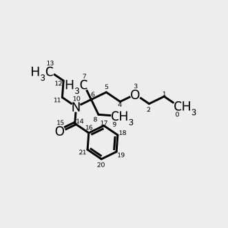 CCCOCCC(C)(CC)N(CCC)C(=O)c1ccccc1